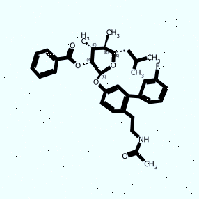 CC(=O)NCCc1ccc(O[C@@H]2O[C@@H](CC(C)C)[C@H](C)[C@@H](C)[C@H]2OC(=O)c2ccccc2)cc1-c1cccc(F)c1